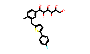 Cc1ccc(C(O)C(O)C(O)C(O)C(O)CO)cc1Cc1ccc(-c2ccc(F)cc2)s1